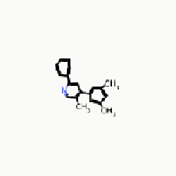 Cc1cc(C)cc(-c2cc(-c3ccccc3)ncc2C)c1